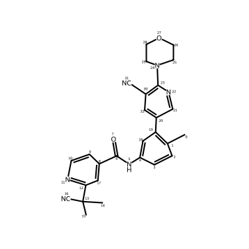 Cc1ccc(NC(=O)c2ccnc(C(C)(C)C#N)c2)cc1-c1cnc(N2CCOCC2)c(C#N)c1